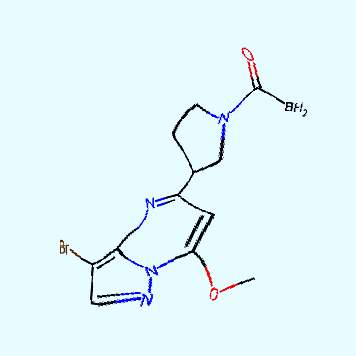 BC(=O)N1CCC(c2cc(OC)n3ncc(Br)c3n2)C1